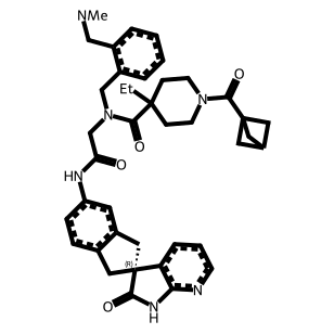 CCC1(C(=O)N(CC(=O)Nc2ccc3c(c2)C[C@@]2(C3)C(=O)Nc3ncccc32)Cc2ccccc2CNC)CCN(C(=O)C23CC(C2)C3)CC1